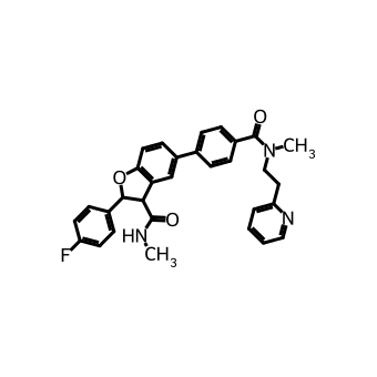 CNC(=O)C1c2cc(-c3ccc(C(=O)N(C)CCc4ccccn4)cc3)ccc2OC1c1ccc(F)cc1